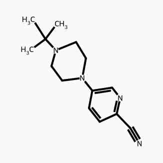 CC(C)(C)N1CCN(c2ccc(C#N)nc2)CC1